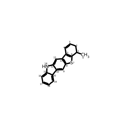 CC1CC=Cc2c1sc1cc3c(cc21)[nH]c1ccccc13